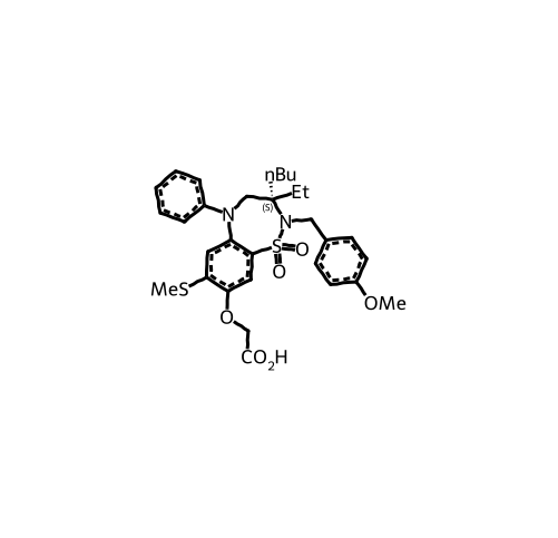 CCCC[C@@]1(CC)CN(c2ccccc2)c2cc(SC)c(OCC(=O)O)cc2S(=O)(=O)N1Cc1ccc(OC)cc1